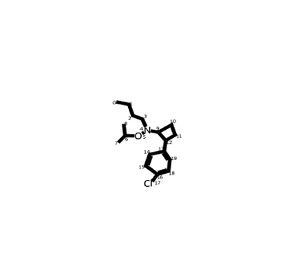 CCCCN(OC(C)C)C1CCC1c1ccc(Cl)cc1